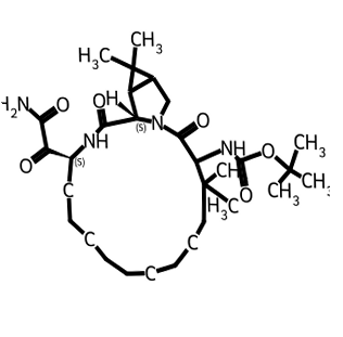 CC(C)(C)OC(=O)NC1C(=O)N2CC3C([C@H]2C(=O)N[C@H](C(=O)C(N)=O)CCCCCCCCCC1(C)C)C3(C)C